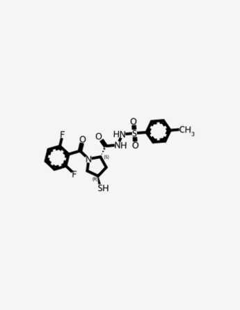 Cc1ccc(S(=O)(=O)NNC(=O)[C@@H]2C[C@@H](S)CN2C(=O)c2c(F)cccc2F)cc1